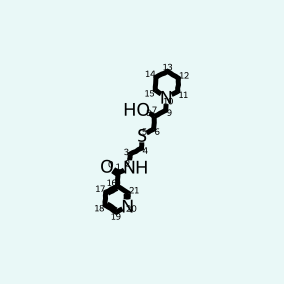 O=C(NCCSCC(O)CN1CCCCC1)c1cccnc1